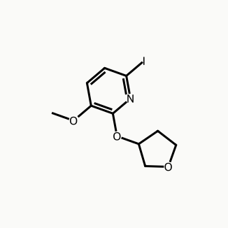 COc1ccc(I)nc1OC1CCOC1